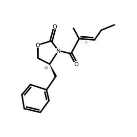 CC/C=C(\C)C(=O)N1C(=O)OC[C@@H]1Cc1ccccc1